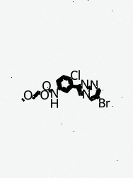 COCCOC(=O)Nc1ccc(Cl)c(-c2cn3cc(Br)cnc3n2)c1